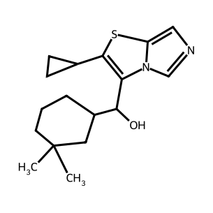 CC1(C)CCCC(C(O)c2c(C3CC3)sc3cncn23)C1